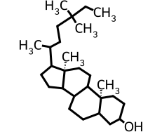 CCC(C)(C)CCC(C)C1CCC2C3CCC4CC(O)CC[C@]4(C)C3CC[C@]12C